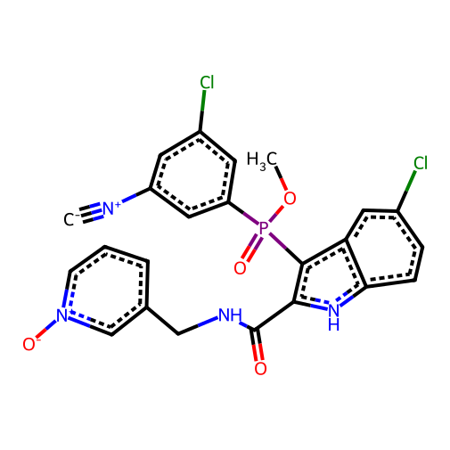 [C-]#[N+]c1cc(Cl)cc(P(=O)(OC)c2c(C(=O)NCc3ccc[n+]([O-])c3)[nH]c3ccc(Cl)cc23)c1